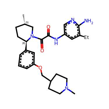 CCc1cc(NC(=O)C(=O)N2C[C@@H](C)CC[C@@H]2c2cccc(OCC3CCN(C)CC3)c2)cnc1N